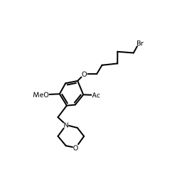 COc1cc(OCCCCCBr)c(C(C)=O)cc1CN1CCOCC1